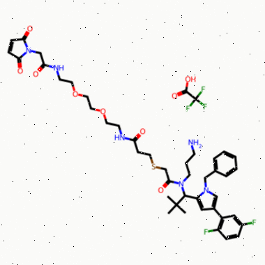 CC(C)(C)C(c1cc(-c2cc(F)ccc2F)cn1Cc1ccccc1)N(CCCN)C(=O)CSCCC(=O)NCCOCCOCCNC(=O)CN1C(=O)C=CC1=O.O=C(O)C(F)(F)F